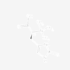 C[N+](C)(C)[C@@H](Cc1c[nH]c(=S)[nH]1)C(=O)O